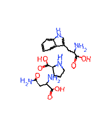 NC(=O)CC(N)C(=O)O.NC(Cc1c[nH]c2ccccc12)C(=O)O.O=C(O)[C@@H]1CCCN1